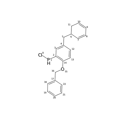 ClPc1cc(CC2C=CC=CC2)ccc1OCc1ccccc1